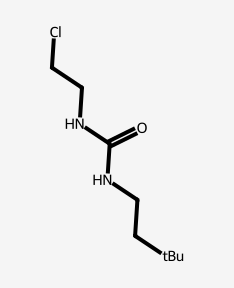 CC(C)(C)CCNC(=O)NCCCl